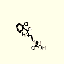 O=C(O)NCCNC(=O)c1ccccc1Cl